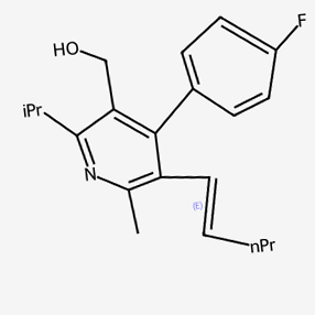 CCC/C=C/c1c(C)nc(C(C)C)c(CO)c1-c1ccc(F)cc1